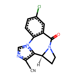 N#Cc1ncn2c1[C@@H]1CCN1C(=O)c1cc(Cl)ccc1-2